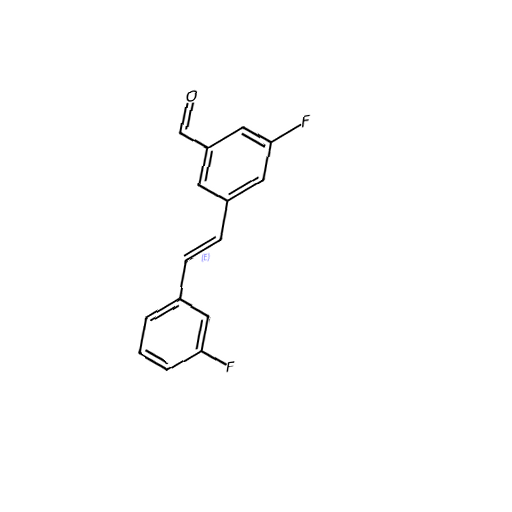 O=Cc1cc(F)cc(/C=C/c2cccc(F)c2)c1